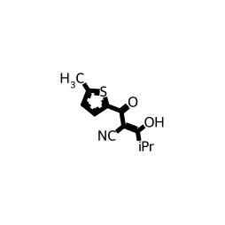 Cc1ccc(C(=O)/C(C#N)=C(\O)C(C)C)s1